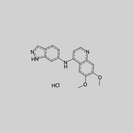 COc1cc2nccc(Nc3ccc4cn[nH]c4c3)c2cc1OC.Cl